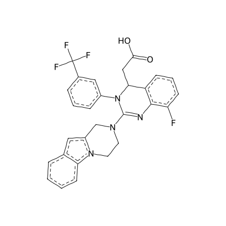 O=C(O)CC1c2cccc(F)c2N=C(N2CCn3c(cc4ccccc43)C2)N1c1cccc(C(F)(F)F)c1